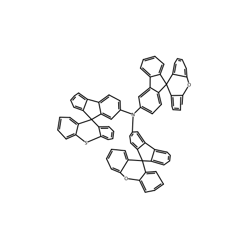 c1ccc2c(c1)Oc1ccccc1C21c2ccccc2-c2cc(N(c3ccc4c(c3)-c3ccccc3C43c4ccccc4Oc4ccccc43)c3ccc4c(c3)C3(c5ccccc5Sc5ccccc53)c3ccccc3-4)ccc21